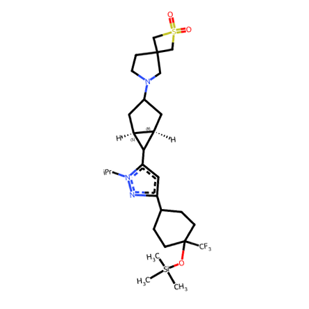 CC(C)n1nc(C2CCC(O[Si](C)(C)C)(C(F)(F)F)CC2)cc1C1[C@H]2CC(N3CCC4(C3)CS(=O)(=O)C4)C[C@@H]12